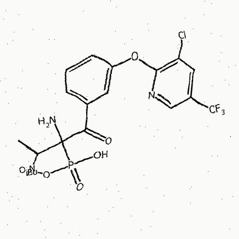 CCC(C)OP(=O)(O)C(N)(C(=O)c1cccc(Oc2ncc(C(F)(F)F)cc2Cl)c1)C(C)[N+](=O)[O-]